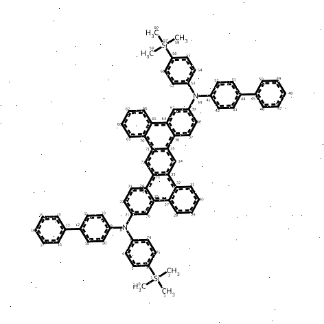 C[Si](C)(C)c1ccc(N(c2ccc(-c3ccccc3)cc2)c2ccc3c(c2)c2ccccc2c2cc4c5ccc(N(c6ccc(-c7ccccc7)cc6)c6ccc([Si](C)(C)C)cc6)cc5c5ccccc5c4cc32)cc1